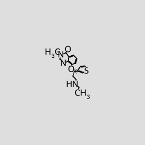 CCNCC[C@@H](Oc1cccc2c(=O)n(C)cnc12)c1ccsc1